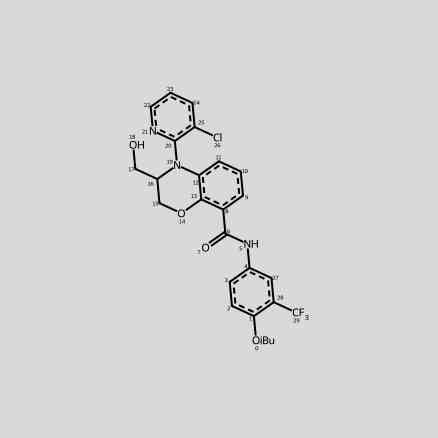 CC(C)COc1ccc(NC(=O)c2cccc3c2OCC(CO)N3c2ncccc2Cl)cc1C(F)(F)F